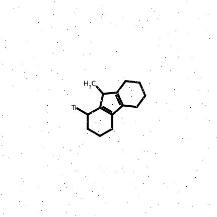 CC1C2=C(CCCC2)C2=C1[CH]([Ti])CCC2